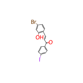 O=C(/C=C/c1ccc(Br)cc1O)c1ccc(I)cc1